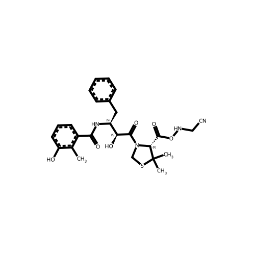 Cc1c(O)cccc1C(=O)N[C@@H](Cc1ccccc1)[C@H](O)C(=O)N1CSC(C)(C)[C@H]1C(=O)ONCC#N